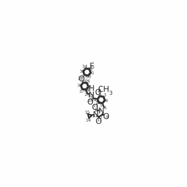 COc1ccc(CN2C(=O)C(=O)N(C3CC3)C2=O)cc1C(=O)NCc1ccc(Oc2ccc(F)cc2)cc1